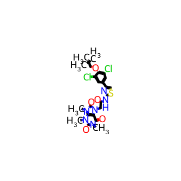 Cn1c(=O)c2c(n(C)c1=O)n(C)c(=O)n2CC(=O)Nc1nc(-c2cc(Cl)c(OCC(C)(C)C)c(Cl)c2)cs1